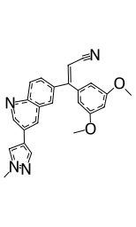 COc1cc(OC)cc(/C(=C\C#N)c2ccc3ncc(-c4cnn(C)c4)cc3c2)c1